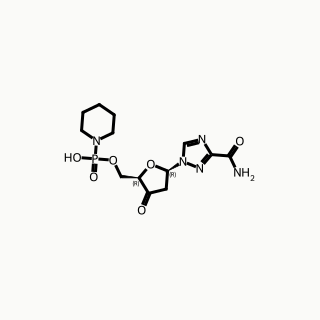 NC(=O)c1ncn([C@H]2CC(=O)[C@@H](COP(=O)(O)N3CCCCC3)O2)n1